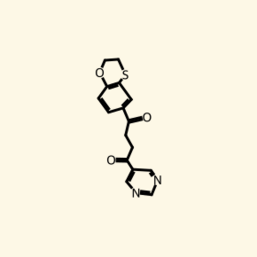 O=C(CCC(=O)c1ccc2c(c1)SCCO2)c1cncnc1